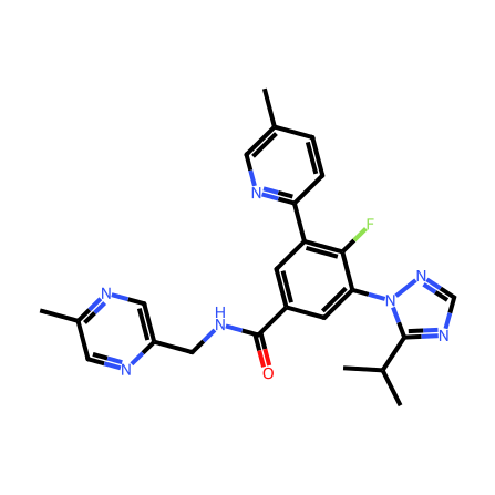 Cc1ccc(-c2cc(C(=O)NCc3cnc(C)cn3)cc(-n3ncnc3C(C)C)c2F)nc1